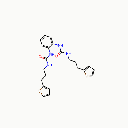 O=C(NCCCc1cccs1)Nc1ccccc1NC(=O)NCCCc1cccs1